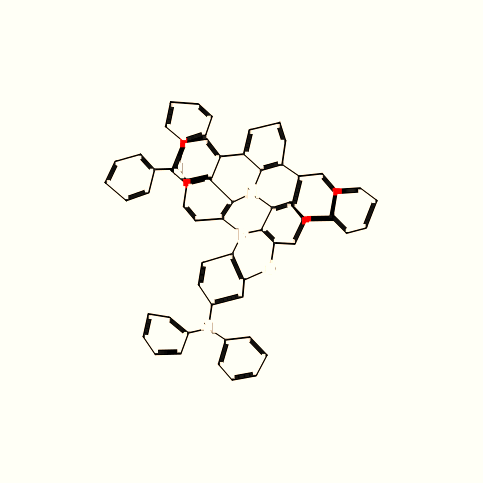 c1ccc(-c2cc3c4c(c2)N(c2c(-c5ccccc5)cccc2-c2ccccc2)c2cc(N(c5ccccc5)c5ccccc5)ccc2B4c2ccc(N(c4ccccc4)c4ccccc4)cc2O3)cc1